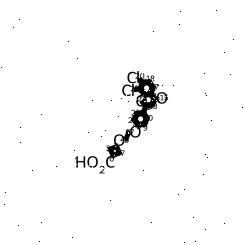 O=C(O)C1CC(OCCOc2ccc(-c3cc(=O)c4ccc(Cl)c(Cl)c4o3)cc2)C1